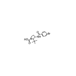 CC(C)(C)C1C(NC(=O)c2ccc(Br)cc2)CCN1C(=O)O